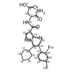 NC(=O)[C@H](CC(=O)O)NC(=O)c1cnn2c(C3CCCCC3)c(-c3ccc(F)cc3F)cnc12